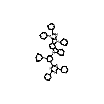 c1ccc(-c2cc(-c3nc(-c4ccccc4)nc(-c4ccccc4)n3)cc(-n3c4ccccc4c4c3ccc3c5c(nc(-c6ccccc6)n5-c5ccccc5)n(-c5ccccc5)c34)c2)cc1